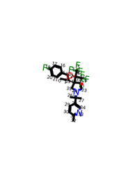 CCOC(C(F)(F)F)(C(F)(F)F)[C@]1(CCc2ccc(F)cc2)CCN(C(C)(C)c2ccc(C)nc2)C1